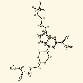 COC(=O)c1cc(N2CCC(CCNC(=O)OC(C)(C)C)CC2)c2cnn(COCC[Si](C)(C)C)c2c1